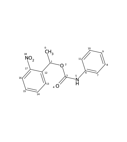 CC(OC(=O)Nc1ccccc1)c1ccccc1[N+](=O)[O-]